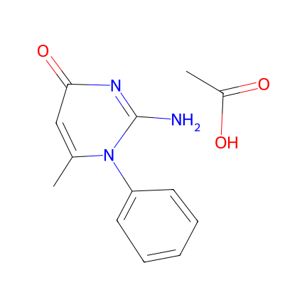 CC(=O)O.Cc1cc(=O)nc(N)n1-c1ccccc1